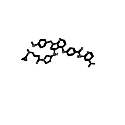 COc1ccc(Cn2nc(NC3CCN(C(=O)/C=C/CN(C)C4CC4)C3)c3c(Oc4ccc(C(=O)Nc5cc(C(C)C)ccn5)cc4)ccnc32)cc1